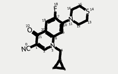 N#Cc1cn(CC2CC2)c2cc(N3CCSCC3)c(F)cc2c1=O